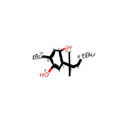 CC(C)(C)CC(C)(C)c1cc(O)c(C(C)(C)C)cc1O